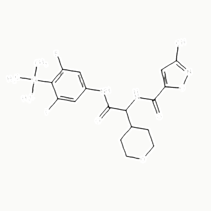 C[Si](C)(C)c1c(F)cc(NC(=O)C(NC(=O)c2cc(O)no2)C2CCOCC2)cc1F